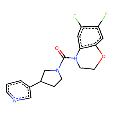 O=C(N1CCC(c2cccnc2)C1)N1CCOc2cc(F)c(F)cc21